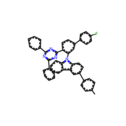 Cc1ccc(-c2ccc3c(c2)c2ccccc2n3-c2cc(-c3ccc(F)cc3)ccc2-c2nc(-c3ccccc3)nc(-c3ccccc3)n2)cc1